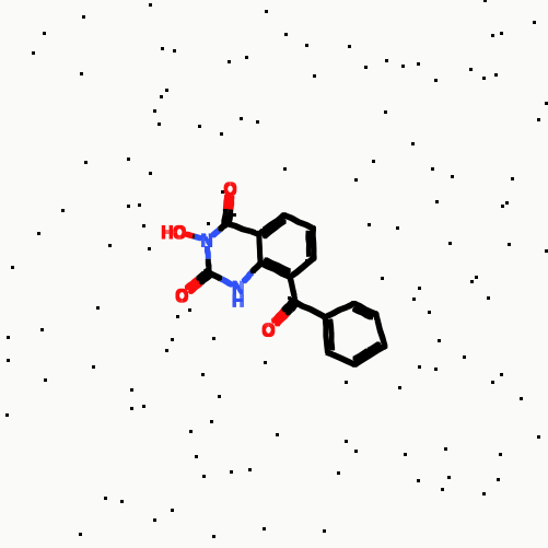 O=C(c1ccccc1)c1cccc2c(=O)n(O)c(=O)[nH]c12